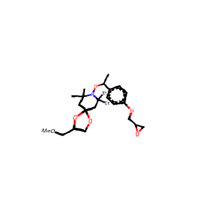 CCC1(CC)CC2(CC(C)(C)N1OC(C)c1ccc(OCC3CO3)cc1)OCC(COC)O2